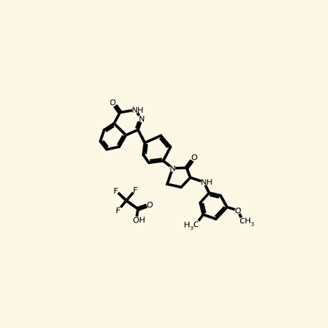 COc1cc(C)cc(NC2CCN(c3ccc(-c4n[nH]c(=O)c5ccccc45)cc3)C2=O)c1.O=C(O)C(F)(F)F